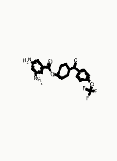 Nc1cc(N)cc(C(=O)OC2CCC(C(=O)c3ccc(OC(F)(F)F)cc3)CC2)c1